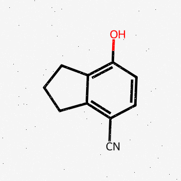 N#Cc1ccc(O)c2c1CCC2